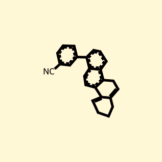 N#Cc1cccc(-c2cccc3c4c(ccc23)C2=CCCCC2=CC4)c1